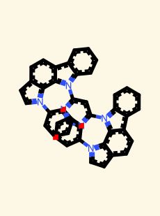 c1ccc(-n2ccc3ccc4c5ccccc5n(-c5cc(-n6c7ccccc7c7ccc8ccn(-c9ccccc9)c8c76)ncn5)c4c32)cc1